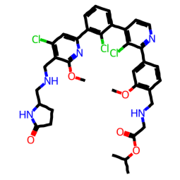 COc1cc(-c2nccc(-c3cccc(-c4cc(Cl)c(CNCC5CCC(=O)N5)c(OC)n4)c3Cl)c2Cl)ccc1CNCC(=O)OC(C)C